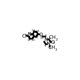 C[C@@H]1C(=O)N(C)CCN1CCOc1ccc2nc(Cl)ccc2c1